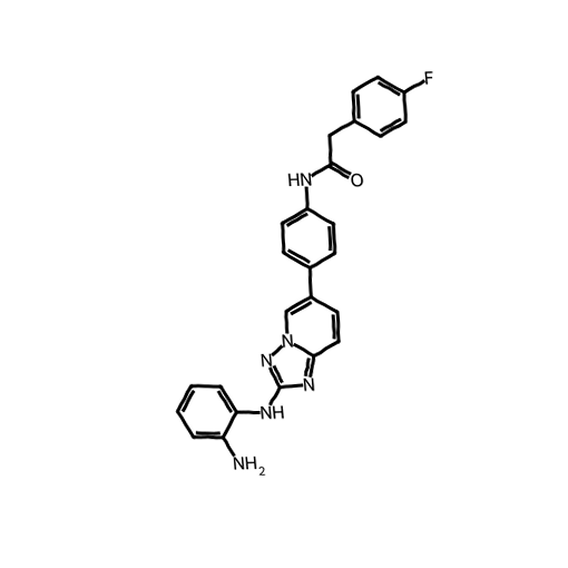 Nc1ccccc1Nc1nc2ccc(-c3ccc(NC(=O)Cc4ccc(F)cc4)cc3)cn2n1